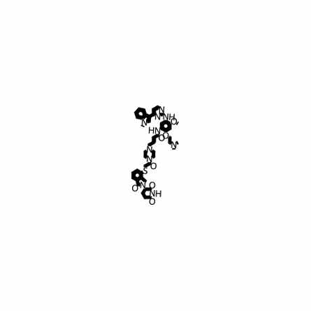 COc1cc(OCCN(C)C)c(NC(=O)/C=C/CN2CCN(C(=O)CSc3cccc4c3CN(C3CCC(=O)NC3=O)C4=O)CC2)cc1Nc1nccc(-c2cn(C)c3ccccc23)n1